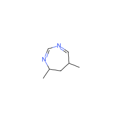 CC1C=NC=NC(C)C1